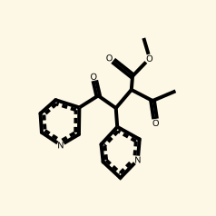 COC(=O)C(C(C)=O)C(C(=O)c1cccnc1)c1cccnc1